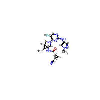 C[C@H]1[C@H]2CN(c3nc(Nc4cnn(C)c4)ncc3F)C[C@@]21NC(=O)[C@@H]1C[C@H]1C#N